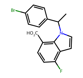 CC(c1ccc(Br)cc1)n1ccc2c(F)ccc(C(=O)O)c21